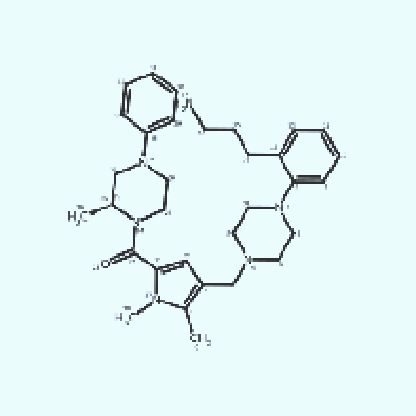 Cc1c(CN2CCN(c3ccccc3CCCN)CC2)cc(C(=O)N2CCN(c3ccccc3)C[C@@H]2C)n1C